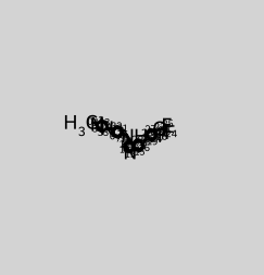 CN1CCN(c2ccc(Nc3ccnc4ccc(-c5ccc(OC(F)(F)F)cc5)cc34)cc2)CC1